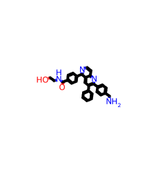 NCc1ccc(-c2nc3ccnc(-c4ccc(C(=O)NCCO)cc4)c3cc2-c2ccccc2)cc1